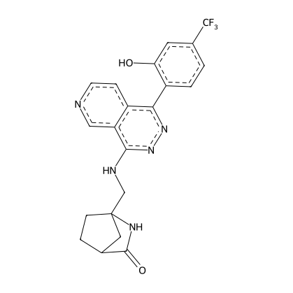 O=C1NC2(CNc3nnc(-c4ccc(C(F)(F)F)cc4O)c4ccncc34)CCC1C2